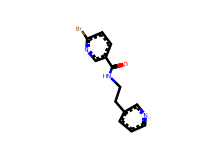 O=C(NCCc1cccnc1)c1ccc(Br)nc1